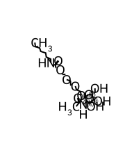 CCCCCCCNC(=O)COCCOCCOCCO[C@@H]1O[C@H](CO)[C@H](O)[C@H](O)[C@H]1NC(C)=O